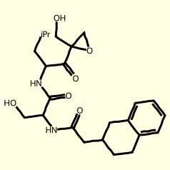 CC(C)CC(NC(=O)C(CO)NC(=O)CC1CCc2ccccc2C1)C(=O)C1(CO)CO1